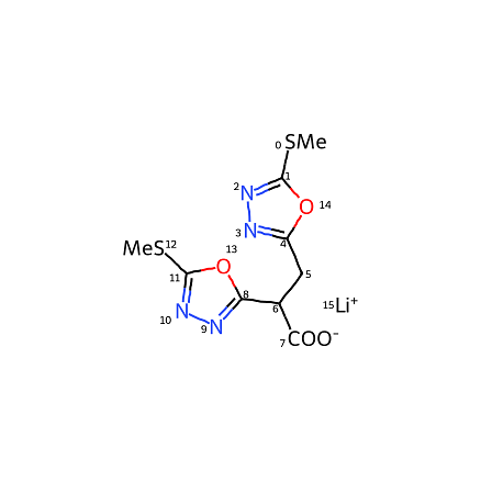 CSc1nnc(CC(C(=O)[O-])c2nnc(SC)o2)o1.[Li+]